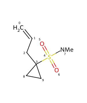 C=CCC1(S(=O)(=O)NC)CC1